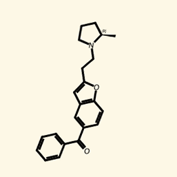 C[C@@H]1CCCN1CCc1cc2cc(C(=O)c3ccccc3)ccc2o1